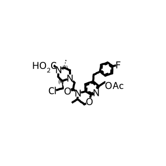 CC(=O)OCc1nc2c(cc1Cc1ccc(F)cc1)N(C(=O)CN1C[C@@H](C)N(C(=O)O)C[C@@H]1CCl)C(C)CO2